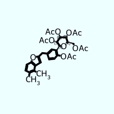 CC(=O)OC[C@H]1O[C@@H](c2cc(Cc3cc4c(C)c(C)ccc4o3)ccc2OC(C)=O)[C@H](OC(C)=O)[C@@H](OC(C)=O)[C@@H]1OC(C)=O